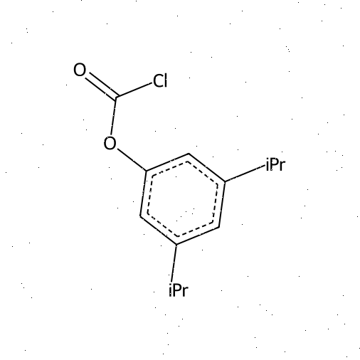 CC(C)c1cc(OC(=O)Cl)cc(C(C)C)c1